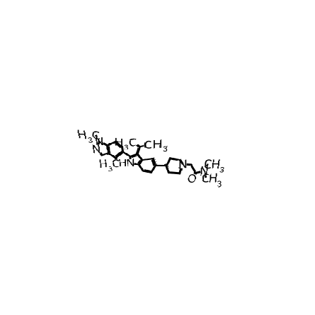 Cc1c(-c2[nH]c3ccc(C4CCN(CC(=O)N(C)C)CC4)cc3c2C(C)C)ccc2c1cnn2C